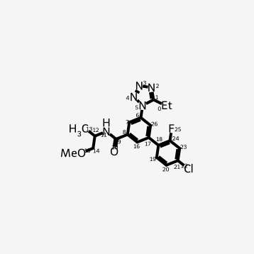 CCc1nnnn1-c1cc(C(=O)NC(C)COC)cc(-c2ccc(Cl)cc2F)c1